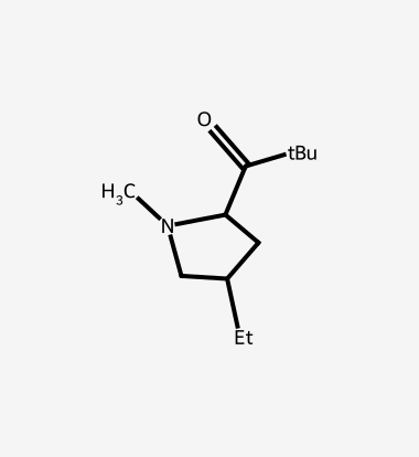 CCC1CC(C(=O)C(C)(C)C)N(C)C1